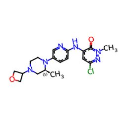 C[C@H]1CN(C2COC2)CCN1c1ccc(Nc2cc(Cl)nn(C)c2=O)nc1